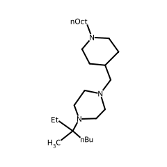 CCCCCCCCN1CCC(CN2CCN(C(C)(CC)CCCC)CC2)CC1